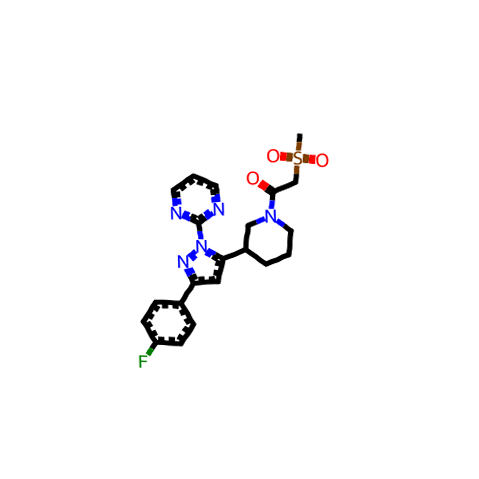 CS(=O)(=O)CC(=O)N1CCCC(c2cc(-c3ccc(F)cc3)nn2-c2ncccn2)C1